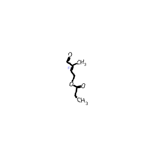 CCC(=O)OC/C=C(\C)C=O